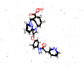 O=C(Cc1cccnc1)Nc1ccc(OC2CN(c3cccc(C(=O)O)c3Cn3cccc3)C2)cc1